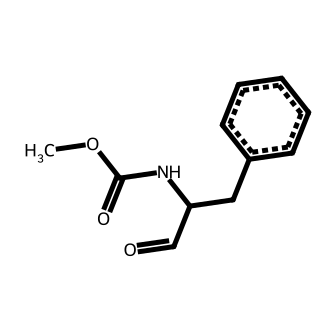 COC(=O)NC(C=O)Cc1ccccc1